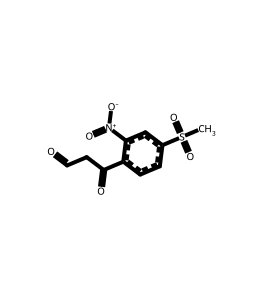 CS(=O)(=O)c1ccc(C(=O)CC=O)c([N+](=O)[O-])c1